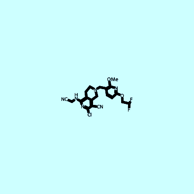 COc1nc(OCC(F)F)ccc1CN1CCc2c(NCC#N)nc(Cl)c(C#N)c2C1